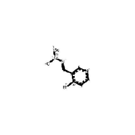 CC(C)(C)[S@+]([O-])N=Cc1cnccc1Br